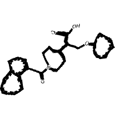 O=C(O)C(COc1ccccc1)C1CCN(C(=O)c2cccc3ccccc23)CC1